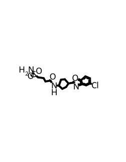 NS(=O)(=O)CCCC(=O)NC1CCC(c2nc3cc(Cl)ccc3o2)CC1